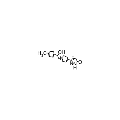 Cc1ccc(C(O)CN2CC=C(C3=NNC(=O)CS3)CC2)cc1